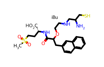 CC[C@H](C)C(COC(Cc1ccc2ccccc2c1)C(=O)N[C@H](CCS(C)(=O)=O)C(=O)O)NCC(N)CS